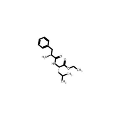 CCOC(=O)[C@H](CC(C)C)NC(=O)[C@@H](N)Cc1ccccc1